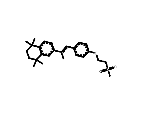 C/C(=C\c1ccc(OCCS(C)(=O)=O)cc1)c1ccc2c(c1)C(C)(C)CCC2(C)C